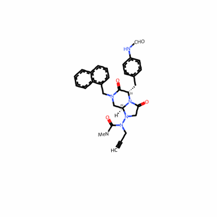 C#CCN(C(=O)NC)N1CC(=O)N2[C@@H](Cc3ccc(NC=O)cc3)C(=O)N(Cc3cccc4ccccc34)C[C@@H]21